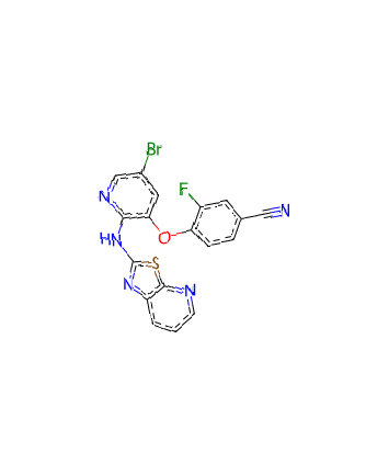 N#Cc1ccc(Oc2cc(Br)cnc2Nc2nc3cccnc3s2)c(F)c1